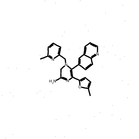 Cc1cccc(CN2CC(N)=NC(c3ccc(C)o3)=C2c2ccc3ncccc3c2)n1